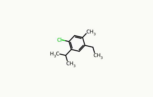 CCc1cc(C(C)C)c(Cl)cc1C